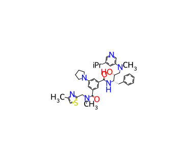 Cc1csc(CN(C)C(=O)c2cc(C(=O)N[C@@H](Cc3ccccc3)[C@H](O)CN(C)c3cncc(C(C)C)c3)cc(N3CCCC3)c2)n1